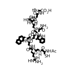 CC(=O)N[C@@H](CS)C(=O)NCC(=O)N[C@@H](CCCNC(=N)N)C(=O)NCC(=O)N[C@H](Cc1ccc2ccccc2c1)C(=O)N[C@@H](Cc1c[nH]c2ccccc12)C(=O)N[C@@H](CCC(N)=O)C(=O)NCC(=O)N[C@H](C(=O)NCC(=O)NC(C(=O)O)C(C)(C)C)[C@@H](C)O